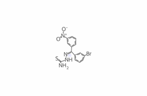 NC(=S)N/N=C(\c1cccc(Br)c1)c1cccc([N+](=O)[O-])c1